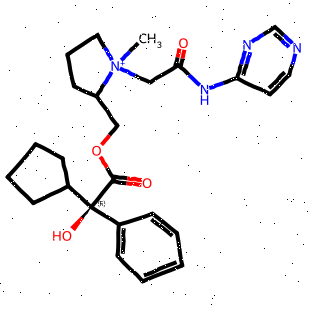 C[N+]1(CC(=O)Nc2ccncn2)CCCC1COC(=O)[C@](O)(c1ccccc1)C1CCCC1